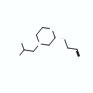 C[C](C)CN1CCO[C@H](CCC=O)C1